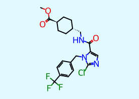 COC(=O)[C@H]1CC[C@H](CNC(=O)c2cnc(Cl)n2Cc2ccc(C(F)(F)F)cc2)CC1